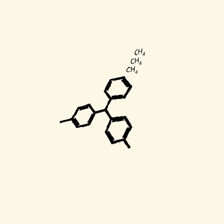 C.C.C.Cc1ccc(C(c2ccccc2)c2ccc(C)cc2)cc1